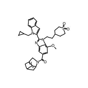 COc1cc(C(=O)N2CC3CC4CC2[C@H]43)cc2nc(-c3cc4ccccc4n3CC3CC3)n(CCC3CCS(=O)(=O)CC3)c12